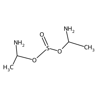 CC(N)OS(=O)OC(C)N